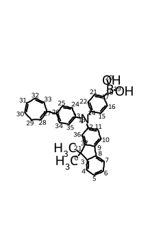 CC1(C)c2ccccc2-c2ccc(N(c3ccc(B(O)O)cc3)c3ccc(C4=CCC=CC=C4)cc3)cc21